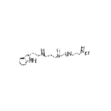 CCNCCCNCCCNCCCNCCc1cc2ccccc2[nH]1